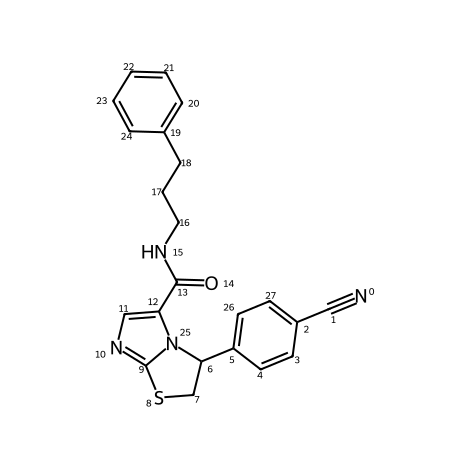 N#Cc1ccc(C2CSc3ncc(C(=O)NCCCc4ccccc4)n32)cc1